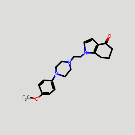 O=C1CCCc2c1ccn2CCN1CCN(c2ccc(OC(F)(F)F)cc2)CC1